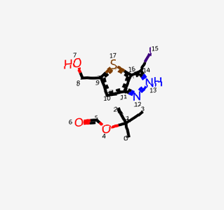 CC(C)(C)OC=O.OCc1cc2n[nH]c(I)c2s1